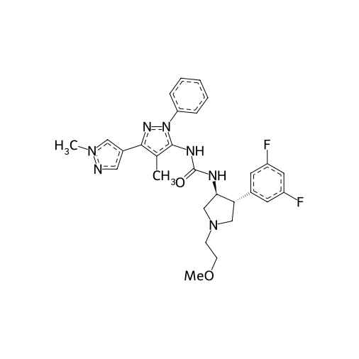 COCCN1C[C@@H](NC(=O)Nc2c(C)c(-c3cnn(C)c3)nn2-c2ccccc2)[C@H](c2cc(F)cc(F)c2)C1